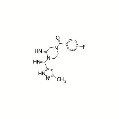 Cc1cc(C(=N)N2CCN(C(=O)c3ccc(F)cc3)CC2=N)[nH]n1